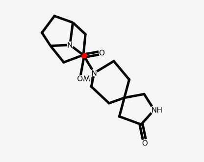 COC(=O)N1C2CCC1CC(N1CCC3(CC1)CNC(=O)C3)C2